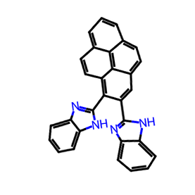 c1cc2ccc3cc(-c4nc5ccccc5[nH]4)c(-c4nc5ccccc5[nH]4)c4ccc(c1)c2c34